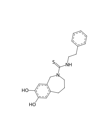 Oc1cc2c(cc1O)CN(C(=S)NCCc1ccccc1)CCC2